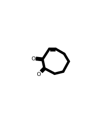 O=C1/C=C\CCCCC1=O